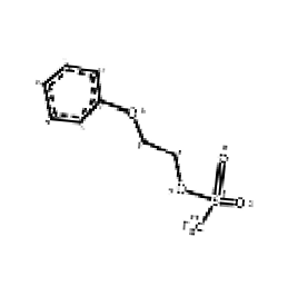 O=S(=O)(OCCOc1ccccc1)C(F)(F)F